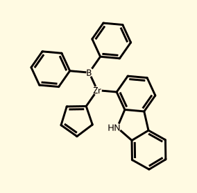 C1=CC[C]([Zr]([B](c2ccccc2)c2ccccc2)[c]2cccc3c2[nH]c2ccccc23)=C1